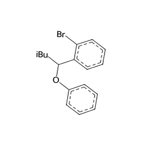 CCC(C)C(Oc1ccccc1)c1ccccc1Br